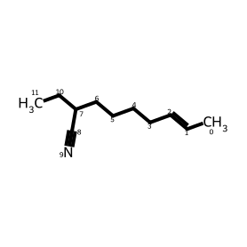 CC=CCCCCC(C#N)CC